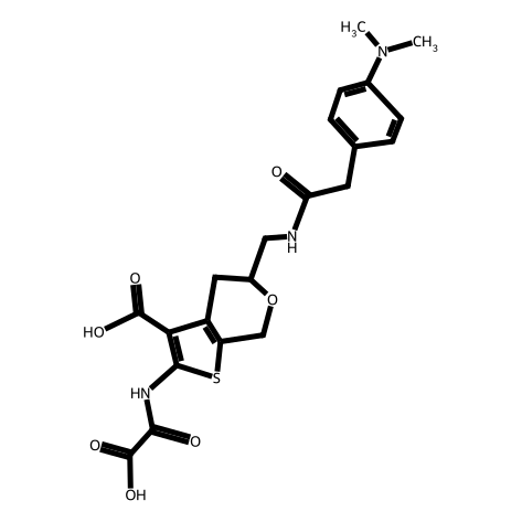 CN(C)c1ccc(CC(=O)NCC2Cc3c(sc(NC(=O)C(=O)O)c3C(=O)O)CO2)cc1